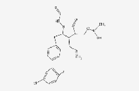 C=CCC1C(COB(C)O)C(=O)N(BC=O)C1Cc1ccc(-c2cc(Cl)ccc2F)cc1